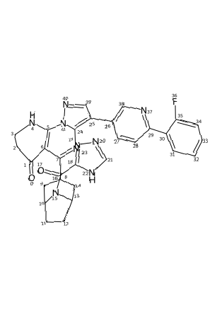 O=C1CCNc2c1c(C1CC3CCC(C1)N3C(=O)c1nnc[nH]1)nc1c(-c3ccc(-c4ccccc4F)nc3)cnn21